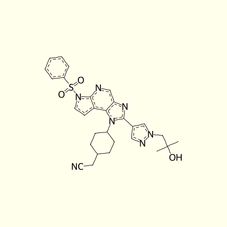 CC(C)(O)Cn1cc(-c2nc3cnc4c(ccn4S(=O)(=O)c4ccccc4)c3n2C2CCC(CC#N)CC2)cn1